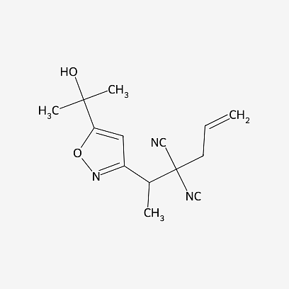 [C-]#[N+]C(C#N)(CC=C)C(C)c1cc(C(C)(C)O)on1